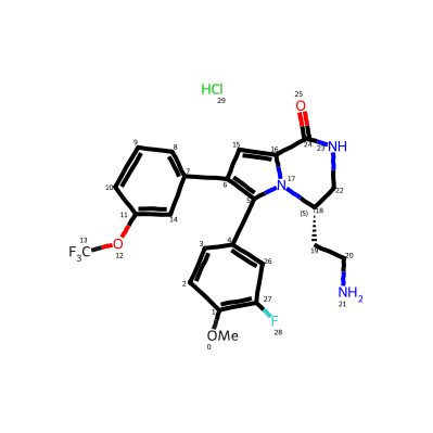 COc1ccc(-c2c(-c3cccc(OC(F)(F)F)c3)cc3n2[C@@H](CCN)CNC3=O)cc1F.Cl